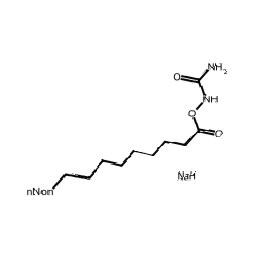 CCCCCCCCCCCCCCCCCC(=O)ONC(N)=O.[NaH]